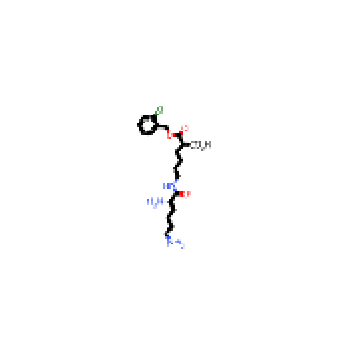 NCCCC[C@H](N)C(=O)NCCCCC(C(=O)O)C(=O)OCc1ccccc1Cl